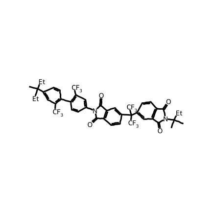 CCC(C)(CC)c1ccc(-c2ccc(N3C(=O)c4ccc(C(c5ccc6c(c5)C(=O)N(C(C)(C)CC)C6=O)(C(F)(F)F)C(F)(F)F)cc4C3=O)cc2C(F)(F)F)c(C(F)(F)F)c1